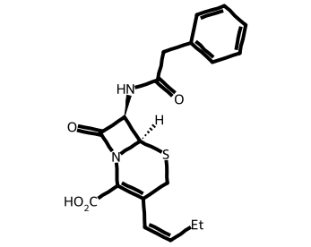 CC/C=C\C1=C(C(=O)O)N2C(=O)[C@@H](NC(=O)Cc3ccccc3)[C@H]2SC1